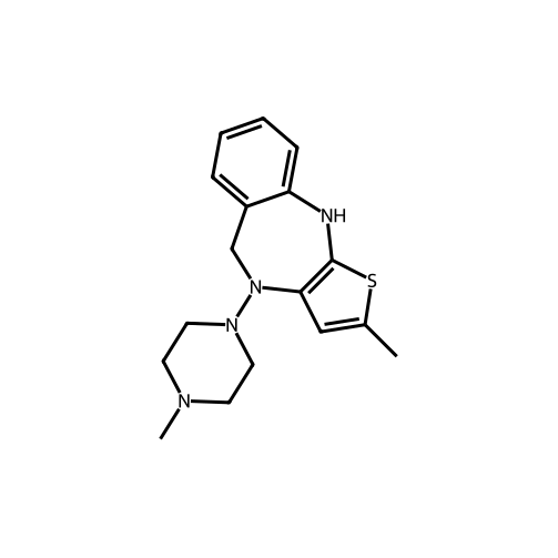 Cc1cc2c(s1)Nc1ccccc1CN2N1CCN(C)CC1